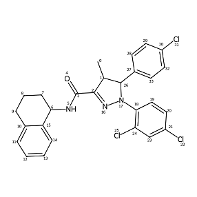 CC1C(C(=O)NC2CCCc3ccccc32)=NN(c2ccc(Cl)cc2Cl)C1c1ccc(Cl)cc1